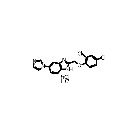 Cl.Cl.Clc1ccc(OCc2nc3cc(-n4ccnc4)ccc3[nH]2)c(Cl)c1